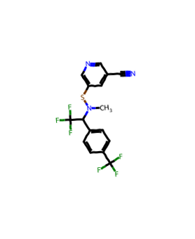 CN(Sc1cncc(C#N)c1)C(c1ccc(C(F)(F)F)cc1)C(F)(F)F